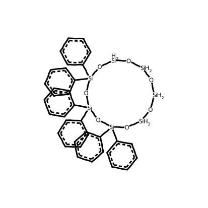 c1ccc([Si]2(c3ccccc3)O[SiH2]O[SiH2]O[SiH2]O[SiH2]O[Si](c3ccccc3)(c3ccccc3)O[Si](c3ccccc3)(c3ccccc3)O2)cc1